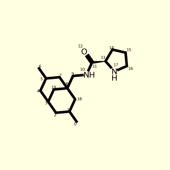 CC1CC2CC(C)CC(CNC(=O)[C@H]3CCCN3)(C1)C2